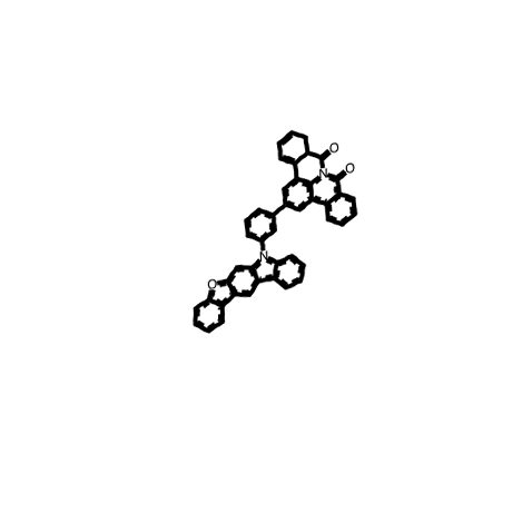 O=C1C2CC=CC=C2c2cc(-c3cccc(-n4c5ccccc5c5cc6c(cc54)oc4ccccc46)c3)cc3c4ccccc4c(=O)n1c23